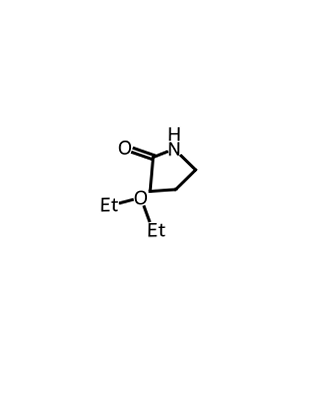 CCOCC.O=C1CCCN1